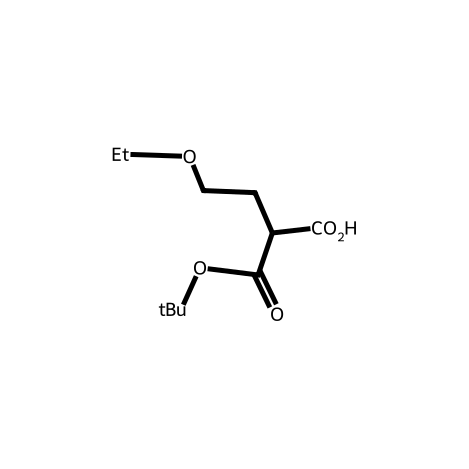 CCOCCC(C(=O)O)C(=O)OC(C)(C)C